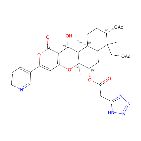 CC(=O)OCC1(C)C2C[C@H](OC(=O)Cc3nnn[nH]3)[C@@]3(C)Oc4cc(-c5cccnc5)oc(=O)c4[C@H](O)C3[C@@]2(C)CC[C@@H]1OC(C)=O